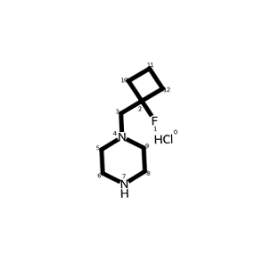 Cl.FC1(CN2CCNCC2)CCC1